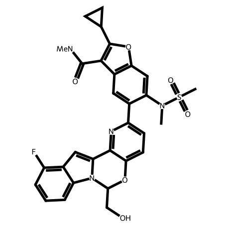 CNC(=O)c1c(C2CC2)oc2cc(N(C)S(C)(=O)=O)c(-c3ccc4c(n3)-c3cc5c(F)cccc5n3C(CO)O4)cc12